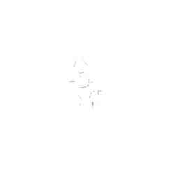 CCc1c(C)cc(C(=O)c2ccccc2)c(CC)c1CC